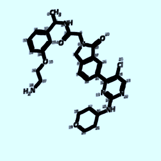 CC(NC(=O)CN1Cc2ccc(-c3nc(NC4CCOCC4)ncc3Cl)cc2C1=O)c1cccc(OCCN)c1